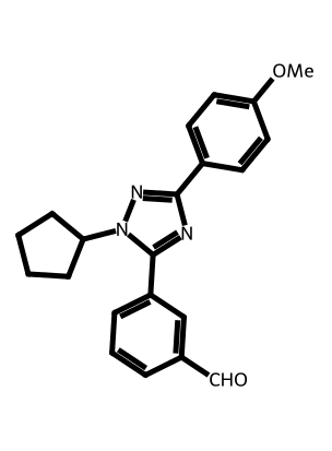 COc1ccc(-c2nc(-c3cccc(C=O)c3)n(C3CCCC3)n2)cc1